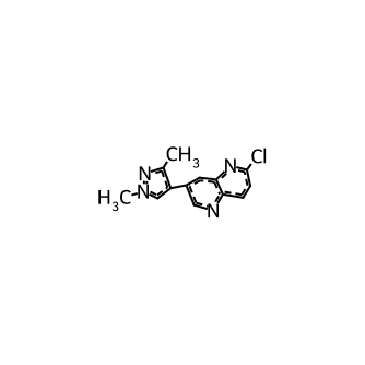 Cc1nn(C)cc1-c1cnc2ccc(Cl)nc2c1